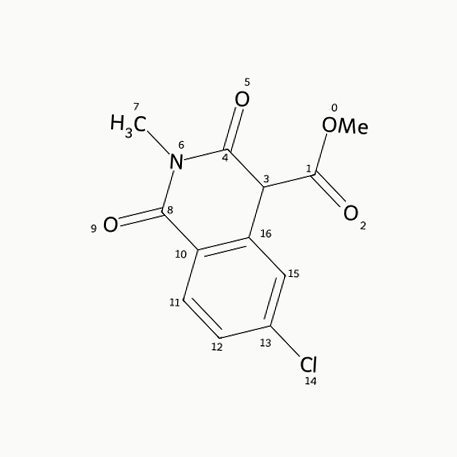 COC(=O)C1C(=O)N(C)C(=O)c2ccc(Cl)cc21